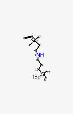 C=C[Si](C)(C)CCNCCC[Si](C)(C)C(C)(C)C